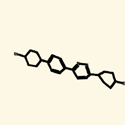 CCC1CCC(c2ccc(-c3ccc(C4CCC(CC)CC4)nn3)cc2)CC1